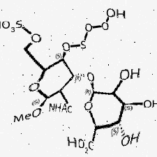 CO[C@H]1OC(COS(=O)(=O)O)[C@@H](OSOOO)[C@H](O[C@@H]2OC(C(=O)O)[C@@H](O)[C@H](O)C2O)C1NC(C)=O